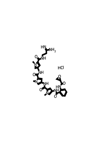 Cl.Cn1cc(NC(=O)c2cc(NC(=O)c3cc(NC(=O)c4ccccc4NC(=O)C4CO4)cn3C)cn2C)cc1C(=O)NCCC(=N)N